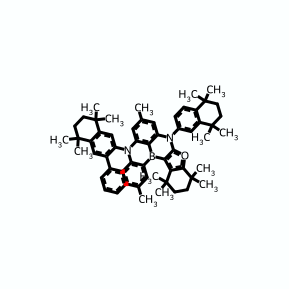 Cc1ccc2c(c1)B1c3c(cc(C)cc3N(c3ccc4c(c3)C(C)(C)CCC4(C)C)c3oc4c(c31)C(C)(C)CCC4(C)C)N2c1cc2c(cc1-c1ccccc1)C(C)(C)CCC2(C)C